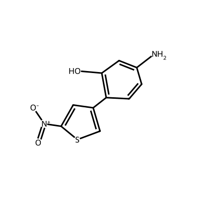 Nc1ccc(-c2csc([N+](=O)[O-])c2)c(O)c1